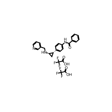 O=C(Nc1ccc([C@@H]2C[C@H]2NCc2cccnc2)cc1)c1ccccc1.O=C(O)C(F)(F)F.O=C(O)C(F)(F)F